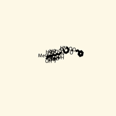 COOC(C(=O)NC1CCC(OC(=O)OCCc2ccccc2)CNC1=O)C(OO)C(OO)C(OO)/C(O)=C(\O)C(C)(CO)OC